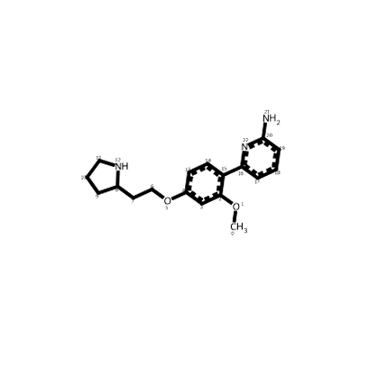 COc1cc(OCCC2CCCN2)ccc1-c1cccc(N)n1